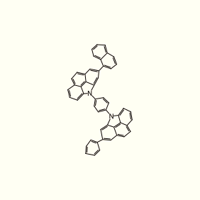 c1ccc(-c2cc3ccc4cccc5c4c3c(c2)n5-c2ccc(-n3c4cccc5ccc6cc(-c7cccc8ccccc78)cc3c6c54)cc2)cc1